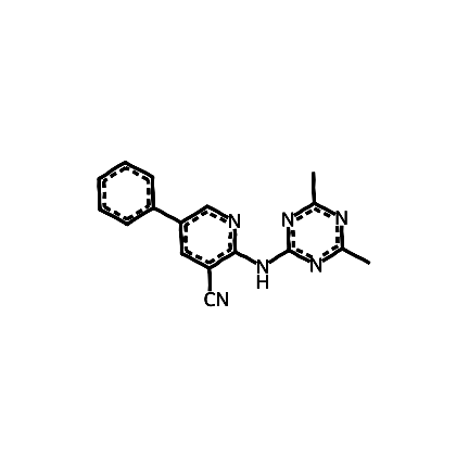 Cc1nc(C)nc(Nc2ncc(-c3ccccc3)cc2C#N)n1